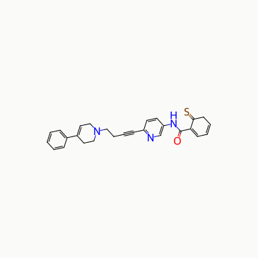 O=C(Nc1ccc(C#CCCN2CC=C(c3ccccc3)CC2)nc1)C1=CC=CCC1=S